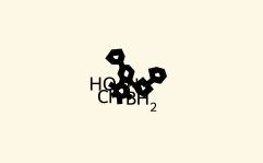 Bc1c(C)c(Cl)c(O)c2c3c(n(-c4cccc(-c5ccccc5)c4)c12)CCC(c1ccccc1)=C3